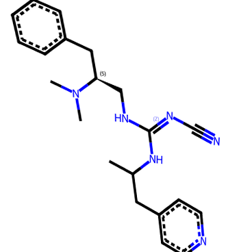 CC(Cc1ccncc1)N/C(=N\C#N)NC[C@H](Cc1ccccc1)N(C)C